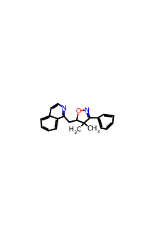 CC1(C)C(c2ccccc2)=NOC1Cc1nccc2ccccc12